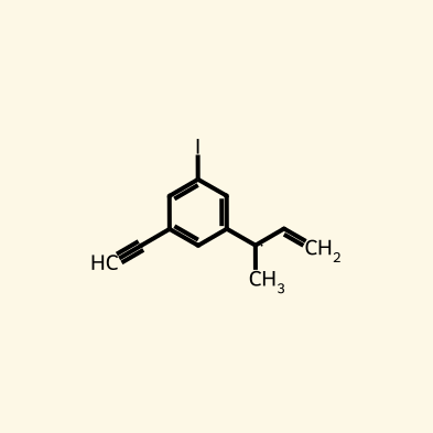 C#Cc1cc(I)cc([C](C)C=C)c1